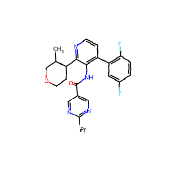 CC(C)c1ncc(C(=O)Nc2c(-c3cc(F)ccc3F)ccnc2C2CCOCC2C)cn1